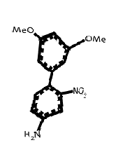 COc1cc(OC)cc(-c2ccc(N)cc2[N+](=O)[O-])c1